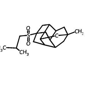 CC(C)CS(=O)(=O)C12CC3C4CC5(C)CC3C(C1)C(C5)C4C2